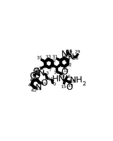 CC[C@@H]1CN(Cc2cc(C(CC(=O)NC(C)(C)C(N)=O)c3ccc4c(nnn4CC)c3C)ccc2C)S(=O)(=O)c2cccnc2O1